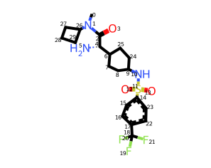 CN(C(=O)[C@@H](N)C1CCC(NS(=O)(=O)c2ccc(C(F)(F)F)cc2)CC1)C1CCC1